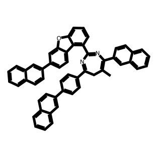 CC1=C(c2ccc3ccccc3c2)N=C(c2cccc3oc4cc(-c5ccc6ccccc6c5)ccc4c23)N=C(c2ccc(-c3ccc4ccccc4c3)cc2)C1